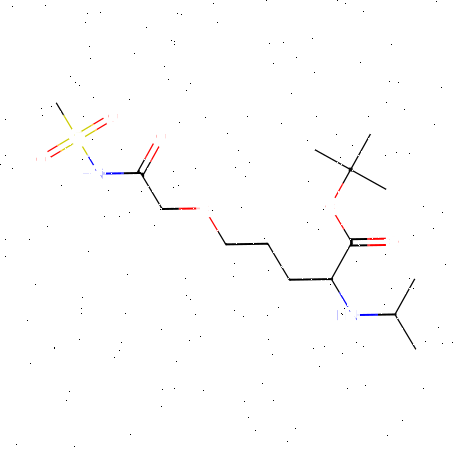 CC(C)NC(CCCOCC(=O)NS(C)(=O)=O)C(=O)OC(C)(C)C